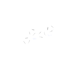 [c]1cc(-c2cccc3c2[nH]c2ccccc23)cc2c1[nH]c1ccccc12